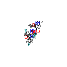 Cc1cc2cc(C(=O)NCC(O)(c3cc4c(c(-c5ccc(F)cc5)n3)OC[C@]4(C)CF)C(F)(F)F)cc(OC3CC3)c2nn1